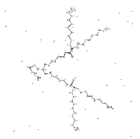 CCCCCCCCCCN(CCCCCCCCCC)C(=O)CCCCCCCN(CCCCCCCC(=O)N(CCCCCCCCCC)CCCCCCCCCC)[C@@H]1COC[C@H]1O